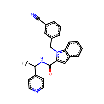 CC(NC(=O)c1cc2ccccc2n1Cc1cccc(C#N)c1)c1ccncc1